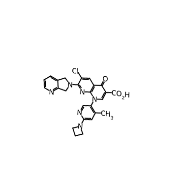 Cc1cc(N2CCC2)ncc1-n1cc(C(=O)O)c(=O)c2cc(Cl)c(N3Cc4cccnc4C3)nc21